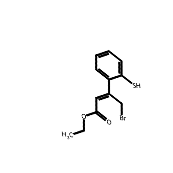 CCOC(=O)C=C(CBr)c1ccccc1S